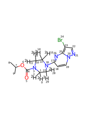 [2H]C1([2H])N(C(=O)OC(C)C)C([2H])([2H])C([2H])([2H])N(c2ccn3ncc(Br)c3n2)C1([2H])[2H]